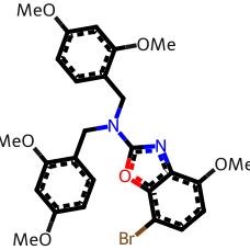 COc1ccc(CN(Cc2ccc(OC)cc2OC)c2nc3c(OC)ccc(Br)c3o2)c(OC)c1